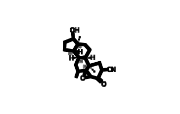 CC1C[C@@H]2[C@@H](CC[C@]3(C)C(O)CC[C@@H]23)[C@@]2(C)CC(C#N)C(=O)C3OC132